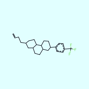 C=CCCC1CCC2C(CCC3CC(c4ccc(C(F)(F)F)cc4)CCC32)C1